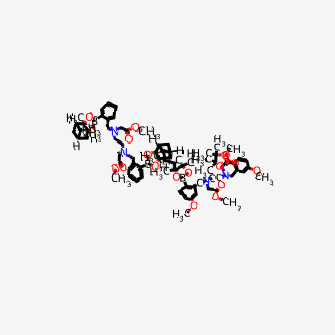 COC(=O)CN(CCN(CC(=O)OC)Cc1ccccc1B1O[C@H]2C[C@H]3C[C@H](C3(C)C)[C@@]2(C)O1)Cc1ccccc1B1OC2[C@H](C[C@H]3C[C@@H]2C3(C)CCC2(C)OB(c3ccc(OC)cc3CN(CCN(CC(=O)OC)Cc3cc(OC)ccc3B3OC(C)(C)C(C)(C)O3)CC(=O)OC)OC2(C)C)O1